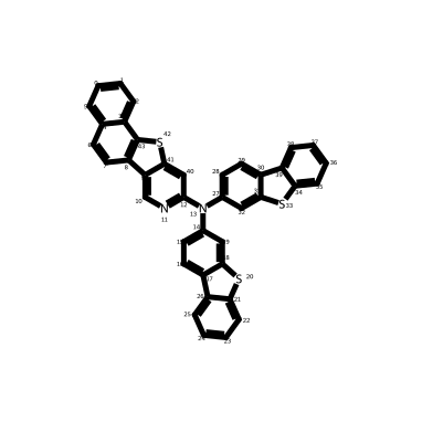 c1ccc2c(c1)ccc1c3cnc(N(c4ccc5c(c4)sc4ccccc45)c4ccc5c(c4)sc4ccccc45)cc3sc21